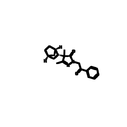 CC1=NN(CC(=O)c2ccccc2)C(=O)C1(C)[C@@H]1C[C@H]2CC[C@@H]1C2